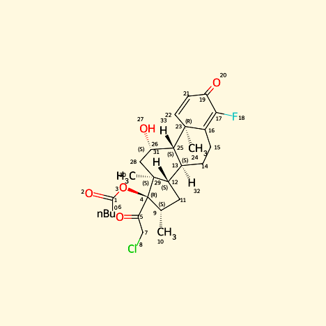 CCCCC(=O)O[C@]1(C(=O)CCl)[C@@H](C)C[C@H]2[C@@H]3CCC4=C(F)C(=O)C=C[C@]4(C)[C@H]3[C@@H](O)C[C@@]21C